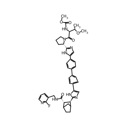 COC(=O)N[C@H](C(=O)N1CCC[C@H]1c1ncc(-c2ccc(-c3ccc(-c4cnc([C@H]5C6CCC(C6)[C@@H]5C(=O)NCc5cccnc5F)[nH]4)cc3)cc2)[nH]1)[C@@H](C)OC